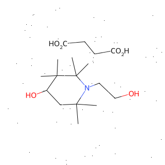 CC1(C)CC(O)C(C)(C)C(C)(C)N1CCO.O=C(O)CCC(=O)O